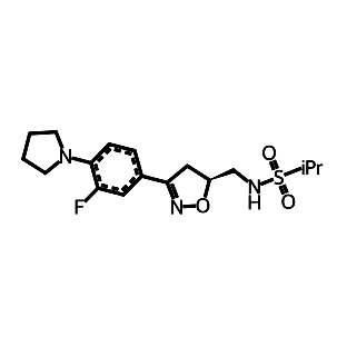 CC(C)S(=O)(=O)NC[C@@H]1CC(c2ccc(N3CCCC3)c(F)c2)=NO1